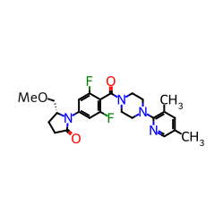 COC[C@H]1CCC(=O)N1c1cc(F)c(C(=O)N2CCN(c3ncc(C)cc3C)CC2)c(F)c1